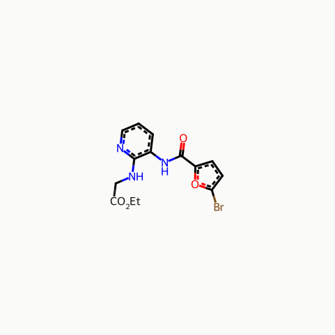 CCOC(=O)CNc1ncccc1NC(=O)c1ccc(Br)o1